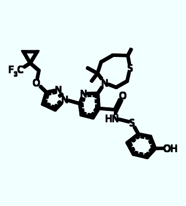 CC1CCC(C)(C)N(c2nc(-n3ccc(OCC4(C(F)(F)F)CC4)n3)ccc2C(=O)NSc2cccc(O)c2)CCS1